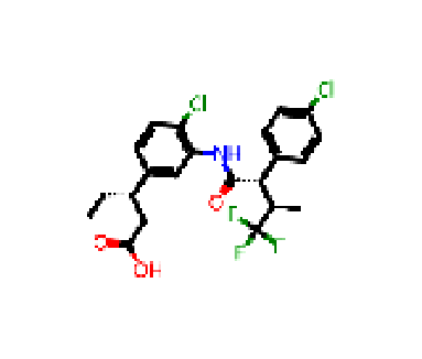 CC[C@@H](CC(=O)O)c1ccc(Cl)c(NC(=O)[C@H](c2ccc(Cl)cc2)[C@@H](C)C(F)(F)F)c1